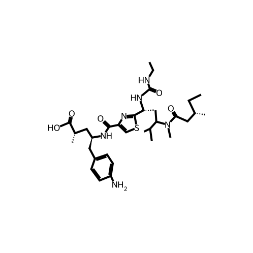 CCNC(=O)N[C@H](CC(C(C)C)N(C)C(=O)C[C@@H](C)CC)c1nc(C(=O)N[C@@H](Cc2ccc(N)cc2)C[C@H](C)C(=O)O)cs1